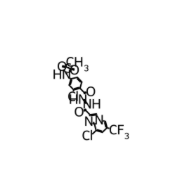 CS(=O)(=O)Nc1ccc(C(=O)NNC(=O)c2cn3cc(C(F)(F)F)cc(Cl)c3n2)c(Cl)c1